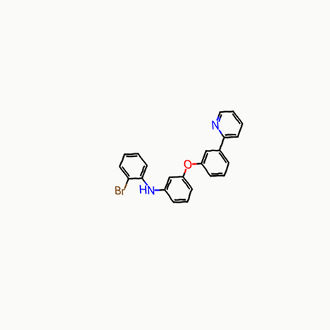 Brc1ccccc1Nc1cccc(Oc2cccc(-c3ccccn3)c2)c1